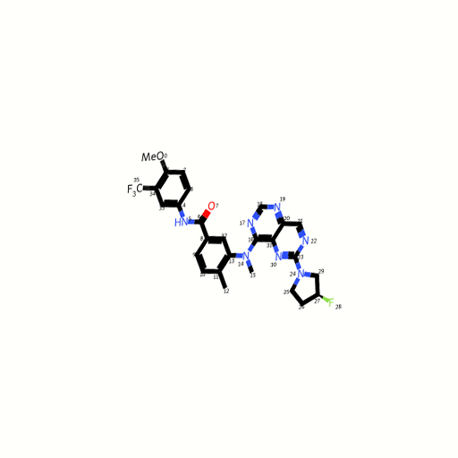 COc1ccc(NC(=O)c2ccc(C)c(N(C)c3ncnc4cnc(N5CC[C@H](F)C5)nc34)c2)cc1C(F)(F)F